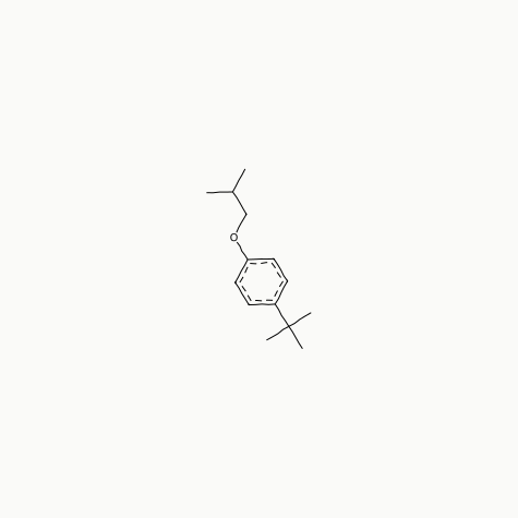 CC(C)COc1ccc(C(C)(C)C)cc1